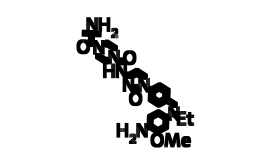 CCN(Cc1ccc(-n2ccc(NC(=O)N3CCN(C(=O)C(C)(C)N)CC3)nc2=O)cc1)C1CCC(N)C(OC)C1